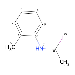 Cc1ccccc1NC(C)I